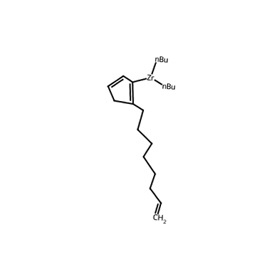 C=CCCCCCCC1=[C]([Zr]([CH2]CCC)[CH2]CCC)C=CC1